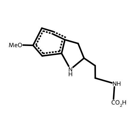 COc1ccc2c(c1)NC(CCNC(=O)O)C2